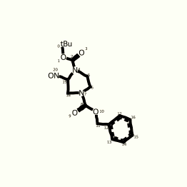 CC(C)(C)OC(=O)N1CCN(C(=O)OCc2ccccc2)CC1N=O